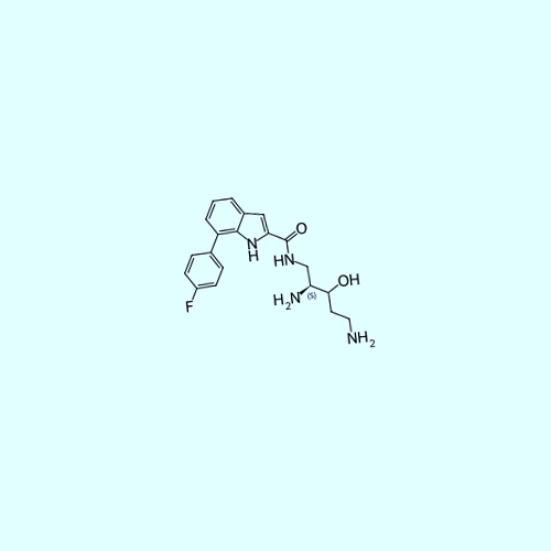 NCCC(O)[C@@H](N)CNC(=O)c1cc2cccc(-c3ccc(F)cc3)c2[nH]1